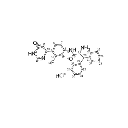 Cl.NC(C(=O)Nc1ccc(-c2cc(=O)[nH]cn2)c(F)c1)C(c1ccccc1)c1ccccc1